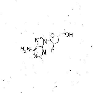 Cc1nc(N)c2ncn([C@@H]3O[C@H](CO)C[C@H]3F)c2n1